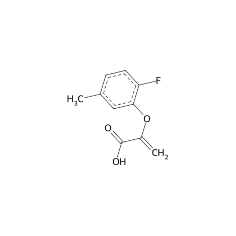 C=C(Oc1cc(C)ccc1F)C(=O)O